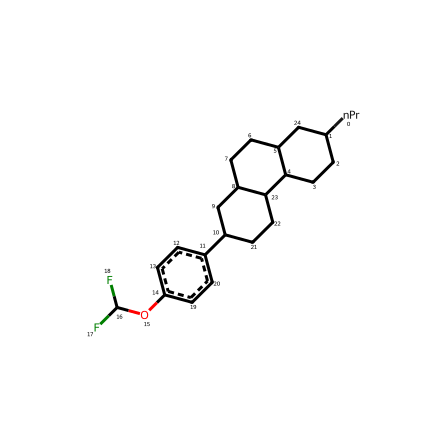 CCCC1CCC2C(CCC3CC(c4ccc(OC(F)F)cc4)CCC32)C1